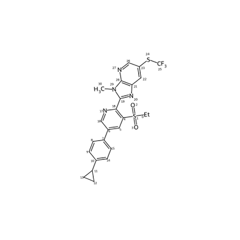 CCS(=O)(=O)c1cc(-c2ccc(C3CC3)cc2)cnc1-c1nc2cc(SC(F)(F)F)cnc2n1C